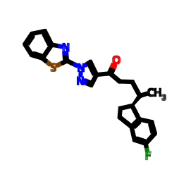 CC(CCC(=O)c1cnn(-c2nc3ccccc3s2)c1)[C@@H]1CCc2cc(F)ccc21